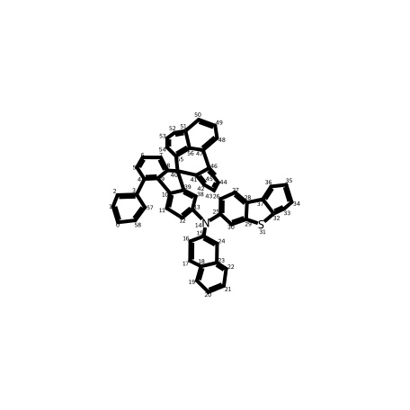 c1ccc(-c2cccc3c2-c2ccc(N(c4ccc5ccccc5c4)c4ccc5c(c4)sc4ccccc45)cc2C32c3ccccc3-c3cccc4cccc2c34)cc1